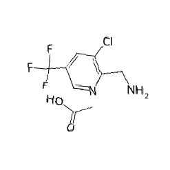 CC(=O)O.NCc1ncc(C(F)(F)F)cc1Cl